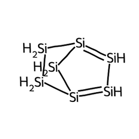 [SiH]1=[Si]2[SiH2][SiH2][Si](=[SiH]1)[SiH2]2